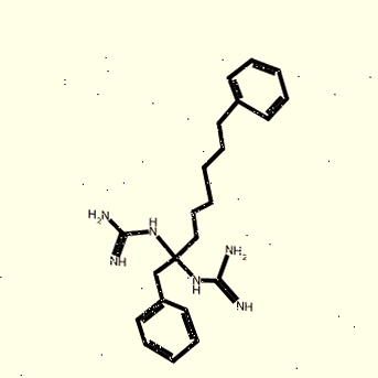 N=C(N)NC(CCCCCCc1ccccc1)(Cc1ccccc1)NC(=N)N